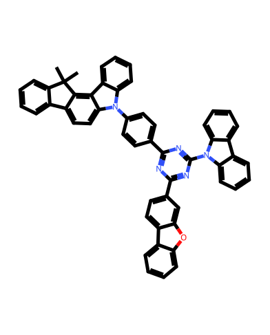 CC1(C)c2ccccc2-c2ccc3c(c21)c1ccccc1n3-c1ccc(-c2nc(-c3ccc4c(c3)oc3ccccc34)nc(-n3c4ccccc4c4ccccc43)n2)cc1